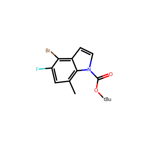 Cc1cc(F)c(Br)c2ccn(C(=O)OC(C)(C)C)c12